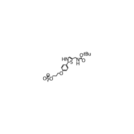 CC(C)(C)OC(=O)NCC1=CNC(c2ccc(OCCCOS(C)(=O)=O)cc2)S1